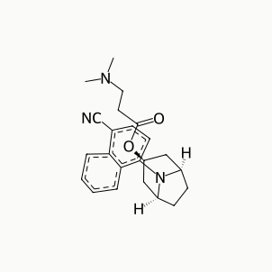 CN(C)CCC(=O)O[C@H]1C[C@H]2CC[C@@H](C1)N2c1ccc(C#N)c2ccccc12